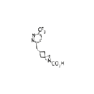 O=C(O)N1CC2(CC(Cc3ccc(C(F)(F)F)nn3)C2)C1